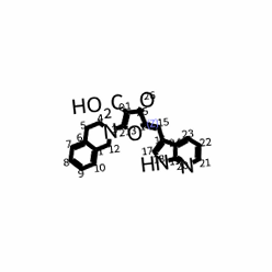 O=C(O)C1=C(N2CCc3ccccc3C2)O/C(=C\c2c[nH]c3ncccc23)C1=O